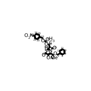 COC1=C(C(=O)OCc2ccccc2)N2C(=O)[C@H]([C@@H](C)OC(=O)OCc3ccc([N+](=O)[O-])cc3)[C@@H]2SC1=O